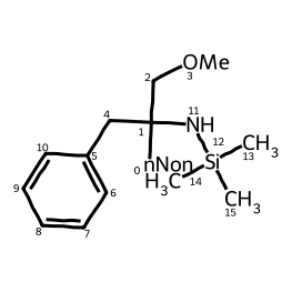 CCCCCCCCCC(COC)(Cc1ccccc1)N[Si](C)(C)C